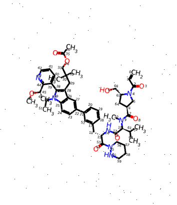 C=CC(=O)N1C[C@@H](C(=O)N(C)[C@H](C(=O)N[C@@H](Cc2cccc(-c3ccc4c(c3)c(CC(C)(C)COC(C)=O)c(-c3cccnc3[C@H](C)OC)n4CC)c2)C(=O)N2CCCCN2)C(C)C)C[C@H]1CO